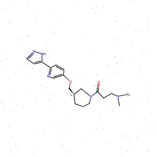 CC(=O)N(C)CCC(=O)N1CCC[C@@H](COc2ccc(-c3ccn[nH]3)nc2)C1